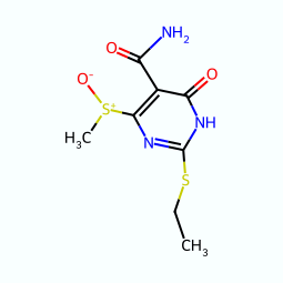 CCSc1nc([S+](C)[O-])c(C(N)=O)c(=O)[nH]1